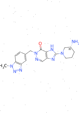 Cn1nnc2cc(Cn3ncc4nc(N5CCC[C@@H](N)C5)[nH]c4c3=O)ccc21